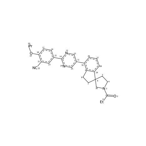 CCC(=O)N1CCC2(CCc3c(-c4cnc(-c5ccc(OC(C)C)c(C#N)c5)nc4)cccc32)C1